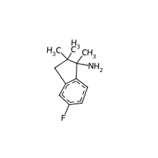 CC1(C)Cc2cc(F)ccc2C1(C)N